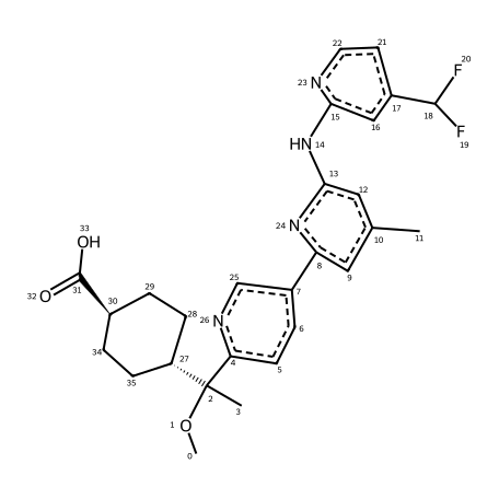 COC(C)(c1ccc(-c2cc(C)cc(Nc3cc(C(F)F)ccn3)n2)cn1)[C@H]1CC[C@H](C(=O)O)CC1